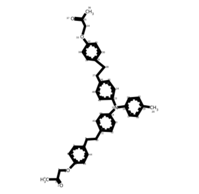 CC(=O)COc1ccc(CCc2ccc(N(c3ccc(C)cc3)c3ccc(CCc4ccc(OCC(C)=O)cc4)cc3)cc2)cc1